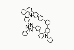 c1ccc(-c2cccc(-c3ccc4c(c3)c3c(-c5cccc(-c6nc(-c7ccccc7)nc(-c7ccc(-c8ccccc8)c(-n8c9ccccc9c9ccccc98)c7)n6)c5)cccc3n4-c3ccccc3)c2)cc1